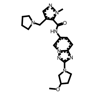 COC1CCN(c2nc3ccc(NC(=O)c4c(CN5CCCC5)cnn4C)cn3n2)C1